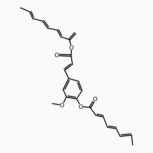 C=C(/C=C/C=C/C=C/C)OC(=O)/C=C/c1ccc(OC(=O)/C=C/C=C/C=C/C)c(OC)c1